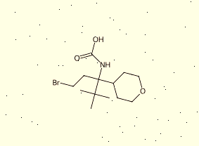 CC(C)(C)C(CCBr)(NC(=O)O)C1CCOCC1